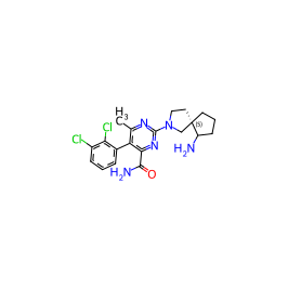 Cc1nc(N2CC[C@@]3(CCCC3N)C2)nc(C(N)=O)c1-c1cccc(Cl)c1Cl